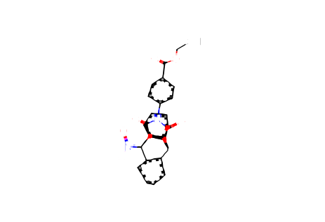 CCOC(=O)c1ccc(N2C(=O)C3=C(C2=O)C2([N+](=O)[O-])c4ccccc4C3c3ccccc32)cc1